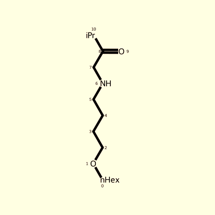 CCCCCCOCCCCNCC(=O)C(C)C